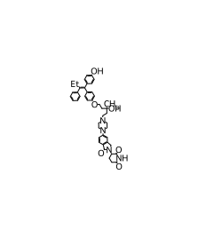 CC/C(=C(\c1ccc(O)cc1)c1ccc(OCCC(C)(O)CCN2CCN(c3ccc4c(c3)CN(C3CCC(=O)NC3=O)C4=O)CC2)cc1)c1ccccc1